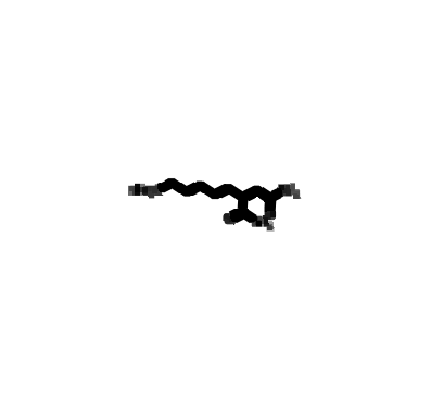 CCCCCCCCCCCCC(CC(N)=O)C(N)=O